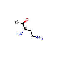 CCC(=O)[C@@H](N)CCN